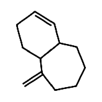 C=C1CCCCC2C=CCCC12